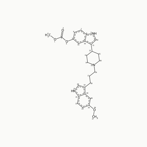 COC(=O)Oc1ccc2[nH]cc(C3CCN(CCCc4c[nH]c5ccc(OC)cc45)CC3)c2c1